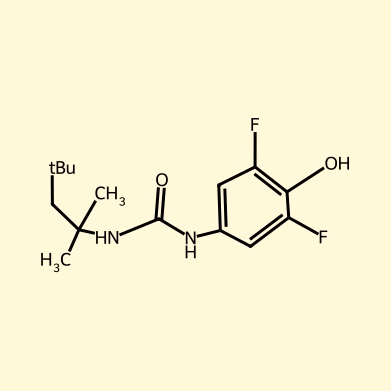 CC(C)(C)CC(C)(C)NC(=O)Nc1cc(F)c(O)c(F)c1